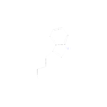 CC(=O)CCCc1c[nH]c2ccccc12